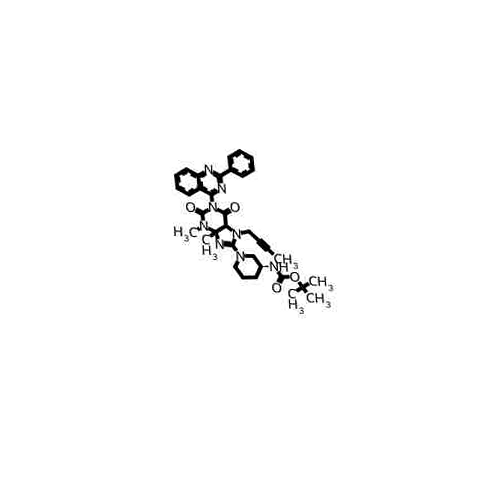 CC#CCN1C(N2CCC[C@@H](NC(=O)OC(C)(C)C)C2)=NC2(C)C1C(=O)N(c1nc(-c3ccccc3)nc3ccccc13)C(=O)N2C